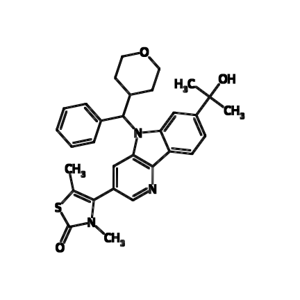 Cc1sc(=O)n(C)c1-c1cnc2c3ccc(C(C)(C)O)cc3n(C(c3ccccc3)C3CCOCC3)c2c1